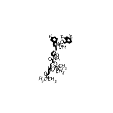 CN(C)C(=O)/C=C/CC[C@H](OC(O)N(C)C)C(=O)Nc1cccn(Cc2cc3cc(F)ccc3n2C(O)OCc2ccc(F)cc2F)c1=O